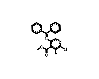 COC(=O)c1c(N=C(c2ccccc2)c2ccccc2)cnc(Cl)c1F